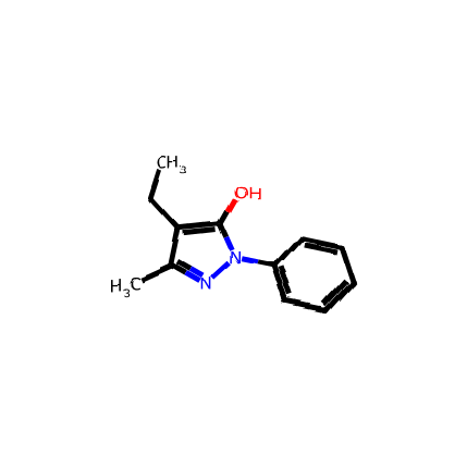 CCc1c(C)nn(-c2ccccc2)c1O